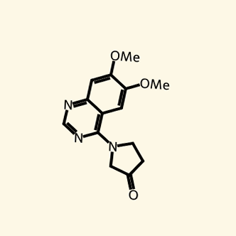 COc1cc2ncnc(N3CCC(=O)C3)c2cc1OC